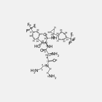 NCCN(CCN)C(=O)C[C@H](N)C(=O)N[C@H](C(=O)NC1(c2ccc(C(F)(F)F)cc2)CC1)[C@H](O)c1ccc(C(F)(F)F)cc1